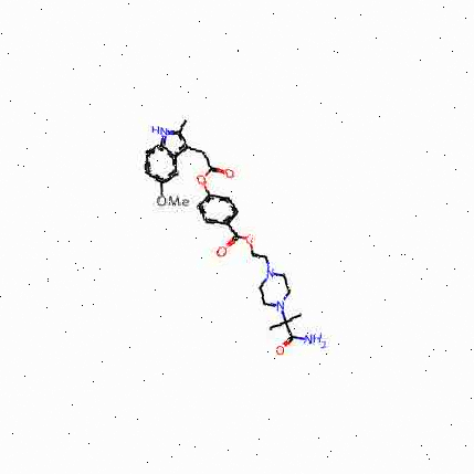 COc1ccc2[nH]c(C)c(CC(=O)Oc3ccc(C(=O)OCCN4CCN(C(C)(C)C(N)=O)CC4)cc3)c2c1